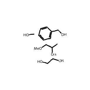 CO.COCC(C)O.OCCO.OCc1ccccc1